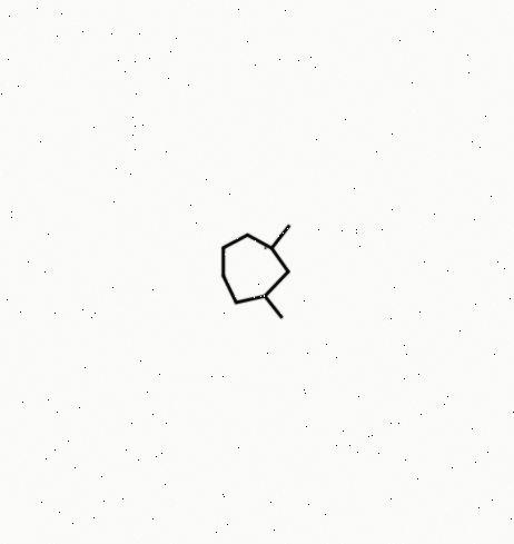 C[C]1CCCCC(C)C1